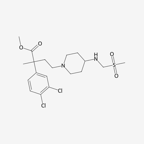 COC(=O)C(C)(CCN1CCC(NCS(C)(=O)=O)CC1)c1ccc(Cl)c(Cl)c1